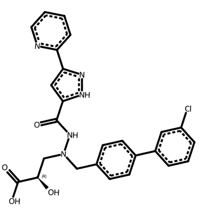 O=C(NN(Cc1ccc(-c2cccc(Cl)c2)cc1)C[C@@H](O)C(=O)O)c1cc(-c2ccccn2)n[nH]1